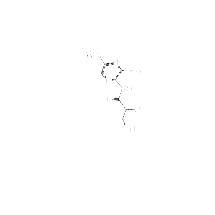 CCC(Br)C(=O)Nc1ncc(C)nc1C